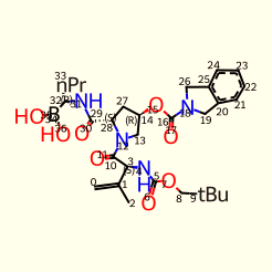 C=C(C)[C@H](NC(=O)OCC(C)(C)C)C(=O)N1C[C@H](OC(=O)N2Cc3ccccc3C2)C[C@H]1C(=O)N[C@@H](CCC)B(O)O